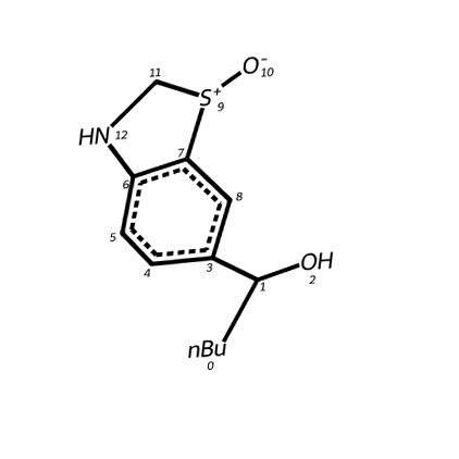 CCCCC(O)c1ccc2c(c1)[S+]([O-])CN2